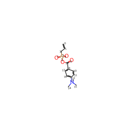 C=CCS(=O)(=O)OC(=O)c1ccc(N(C)C)cc1